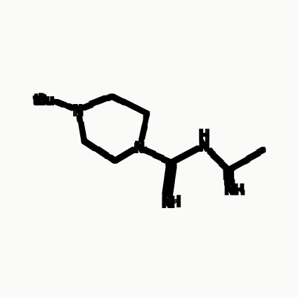 CC(=N)NC(=N)N1CCN(C(C)(C)C)CC1